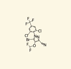 N#Cc1nn(-c2c(Cl)cc(C(F)(F)F)cc2Cl)c(Br)c1OC(F)F